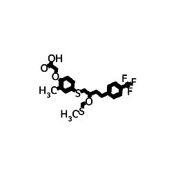 CSCOC(CCc1ccc(C(F)(F)F)cc1)CSc1ccc(OCC(=O)O)c(C)c1